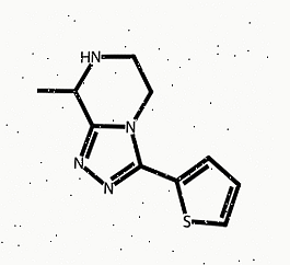 CC1NCCn2c(-c3cccs3)nnc21